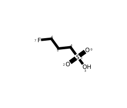 O=S(=O)(O)CCCF